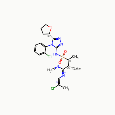 C=N/C(=N\C=C(/C)Cl)[C@@H](OC)[C@H](C)S(=O)(=O)Nc1nnc([C@@H]2CCCO2)n1-c1ccccc1Cl